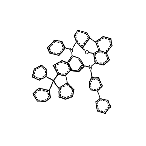 C1=CC(N(c2ccccc2)c2cccc3c2Oc2c(N(C=Cc4cccc5c4-c4ccccc4C5(c4ccccc4)c4ccccc4)c4ccc(-c5ccccc5)cc4)ccc4cccc-3c24)=CCC1